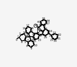 CC1C=CC2=C(C1)c1ccccc1C21c2ccccc2-c2c1ccc1c3cc(-c4ccccc4)cc4c5ccccc5c(=O)n(c21)c43